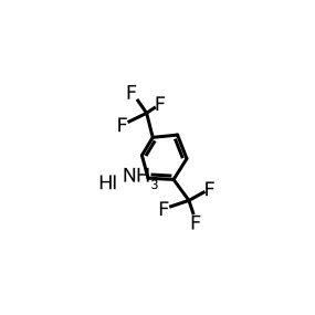 FC(F)(F)c1ccc(C(F)(F)F)cc1.I.N